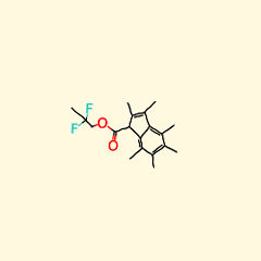 CC1=C(C)C(C(=O)OCC(C)(F)F)c2c(C)c(C)c(C)c(C)c21